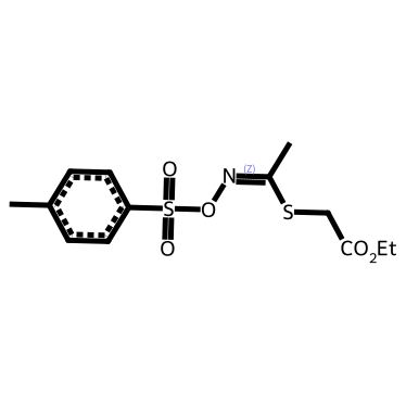 CCOC(=O)CS/C(C)=N\OS(=O)(=O)c1ccc(C)cc1